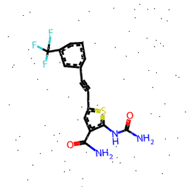 NC(=O)Nc1sc(C#Cc2cccc(C(F)(F)F)c2)cc1C(N)=O